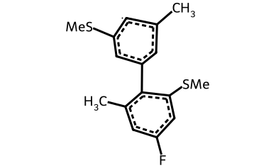 CSc1[c]c(C)cc(-c2c(C)cc(F)cc2SC)c1